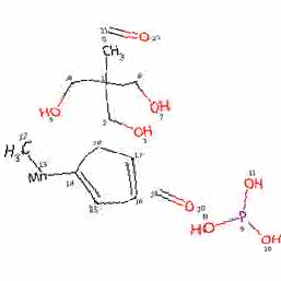 CC(CO)(CO)CO.OP(O)O.[CH3][Mn][C]1=CC=CC1.[C]=O.[C]=O